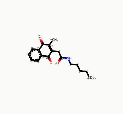 CCCCCCCCCCCCCCNC(=O)CC1=C(C)C(=O)c2ccccc2C1=O